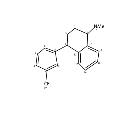 CNC1CCC(c2cccc(C(F)(F)F)c2)c2ccccc21